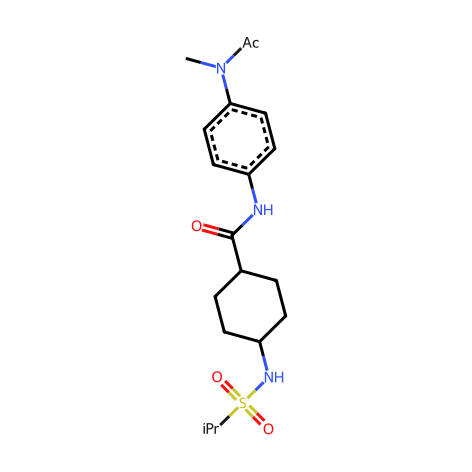 CC(=O)N(C)c1ccc(NC(=O)C2CCC(NS(=O)(=O)C(C)C)CC2)cc1